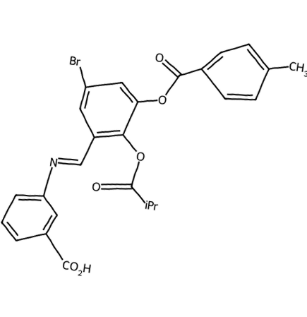 Cc1ccc(C(=O)Oc2cc(Br)cc(C=Nc3cccc(C(=O)O)c3)c2OC(=O)C(C)C)cc1